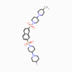 CC1CCN(C2CCN(S(=O)(=O)c3ccc4ccc(S(=O)(=O)N5CCC(N6CCC(I)CC6)CC5)cc4c3)CC2)CC1